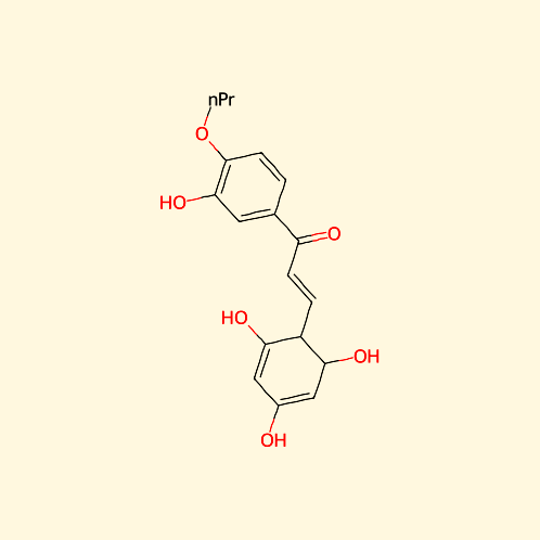 CCCOc1ccc(C(=O)C=CC2C(O)=CC(O)=CC2O)cc1O